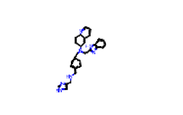 C1=CC2=CC(N(Cc3ccc(CNCc4c[nH]cn4)cc3)Cc3nc4ccccc4[nH]3)CCC2N=C1